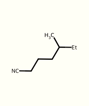 CCC(C)CCCC#N